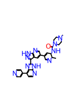 CC1N=CC(c2cnc3[nH]nc(-c4nc5c(-c6ccncc6)ccnc5[nH]4)c3c2)=CC1NC(=O)N1CCN(C)CC1